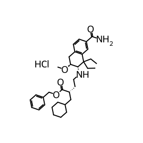 CCC1(CC)c2cc(C(N)=O)ccc2C[C@H](OC)[C@H]1NCC[C@H](CC1CCCCC1)C(=O)OCc1ccccc1.Cl